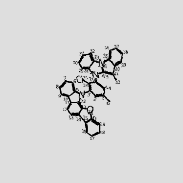 Cc1cc(-n2c3ccccc3c3ccc4c5ccccc5oc4c32)c(Cl)c(-n2c3ccccc3n3c4ccccc4c(C)c23)c1